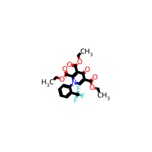 CCOC(=O)c1cn(-c2ccccc2C(F)(F)F)c(C(=O)OCC)c(C(=O)OCC)c1=O